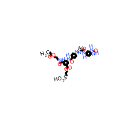 C=CC(=O)OCCCNC(=O)c1cc(NC(=O)c2ccc(/N=N/C(C(C)=O)C(=O)Nc3ccc4[nH]c(=O)[nH]c4c3)cc2)cc(C(=O)OCCCS(=O)(=O)O)c1